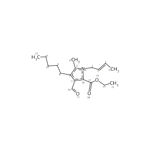 C/C=C/Cn1c(C)c(CCCCC)c(C=O)c1C(=O)OCC